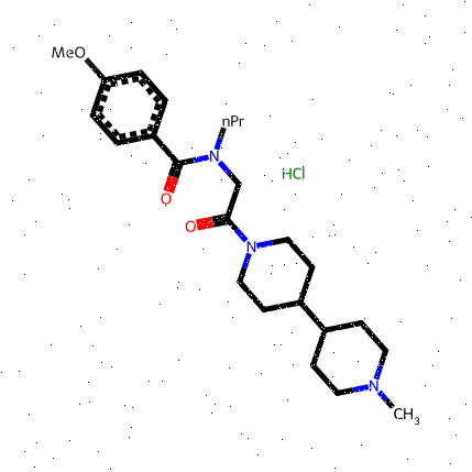 CCCN(CC(=O)N1CCC(C2CCN(C)CC2)CC1)C(=O)c1ccc(OC)cc1.Cl